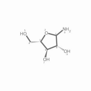 NC1O[C@@H](CO)[C@H](O)[C@H]1O